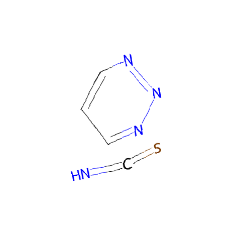 N=C=S.c1cnnnc1